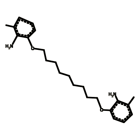 Cc1cccc(OCCCCCCCCCOc2cccc(C)c2N)c1N